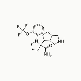 NC(=O)[C@]1(C2CCC3CNCC32)CCCN1c1ccccc1OC(F)(F)F